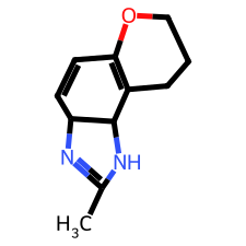 CC1=NC2C=CC3=C(CCCO3)C2N1